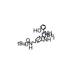 CC(C)(C)OC(=O)NCCN1CCN2C(/C=C(\N)c3ccccc3O)=C(N)NCC2C1